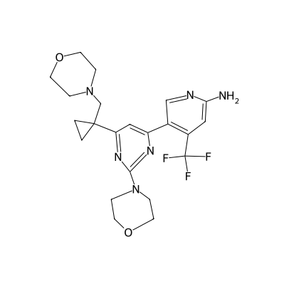 Nc1cc(C(F)(F)F)c(-c2cc(C3(CN4CCOCC4)CC3)nc(N3CCOCC3)n2)cn1